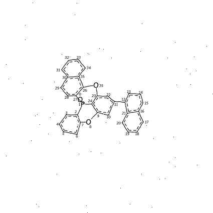 O=P12c3ccccc3Oc3cc(-c4cccc5ccccc45)cc(c31)Oc1c2ccc2ccccc12